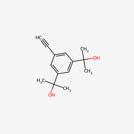 C#Cc1cc(C(C)(C)O)cc(C(C)(C)O)c1